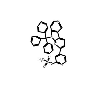 CS(=O)(=O)Oc1cc(-c2ccc3c4cnccc4n(C(c4ccccc4)(c4ccccc4)c4ccccc4)c3n2)ccn1